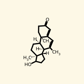 CC1=CC2=CC(=O)CC[C@]2(C)[C@@H]2CC[C@]3(C)C(O)CC[C@H]3[C@H]12